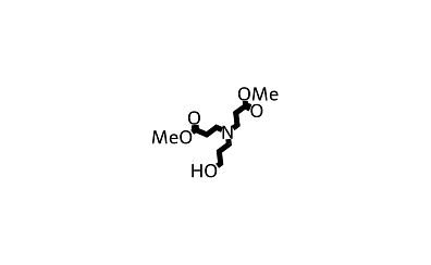 COC(=O)CCN(CCCO)CCC(=O)OC